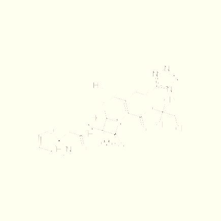 CO[C@@]1(NC(=O)CC2(N)CC=CO2)C(=O)N2C(C(=O)OC(Cl)(Cl)CCl)=C(CSc3nnnn3C)CS[C@@H]21.Cl